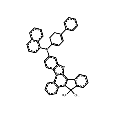 CC1(C)c2ccccc2-c2c1c1ccccc1c1c2oc2cc(N(C3=CC=C(c4ccccc4)CC3)c3cccc4ccccc34)ccc21